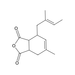 CC=C(C)CC1C=C(C)CC2C(=O)OC(=O)C12